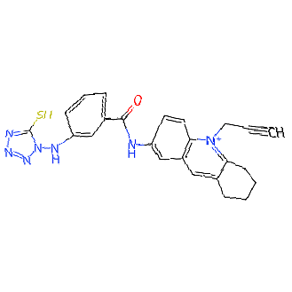 C#CC[n+]1c2c(cc3cc(NC(=O)c4cccc(Nn5nnnc5S)c4)ccc31)CCCC2